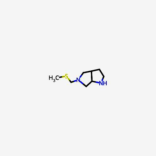 CSCN1CC2CCNC2C1